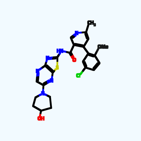 COc1ccc(Cl)cc1-c1cc(C)ncc1C(=O)Nc1nc2ncc(N3CCC(O)CC3)nc2s1